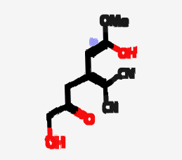 CO/C(O)=C/C(CC(=O)CO)=C(C#N)C#N